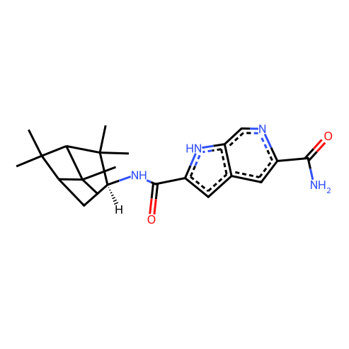 CC1(C)C2C[C@H](NC(=O)c3cc4cc(C(N)=O)ncc4[nH]3)C(C)(C)C1C2(C)C